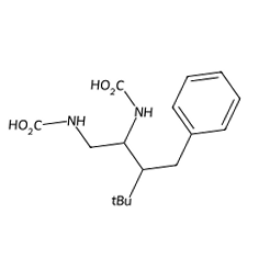 CC(C)(C)C(Cc1ccccc1)C(CNC(=O)O)NC(=O)O